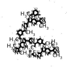 C=CC(c1cccc(C(C)n2cc(-c3cnn(CC(F)(F)F)c3)c3ncc(-c4c(C)noc4C)cc32)c1)n1cc(-c2cn(C(C)c3cccc(C(C)n4cc(-c5cn(C(C)c6ccccc6)c6cc(-c7c(C)noc7C)cnc56)cn4)c3)c3cc(-c4c(C)noc4C)cnc23)cn1